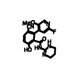 COc1cnc(F)cc1-c1c(C#N)ccc(O)c1C(=O)NC1=NCCCN1